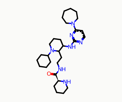 O=C(NCCC1C(Nc2nccc(N3CCCCCC3)n2)CCCN1C1CCCCC1)[C@@H]1CCCCN1